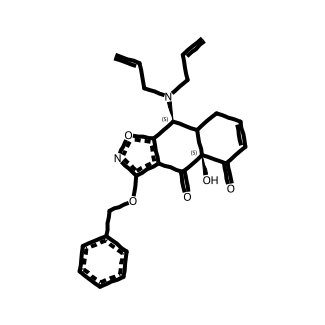 C=CCN(CC=C)[C@@H]1c2onc(OCc3ccccc3)c2C(=O)[C@@]2(O)C(=O)C=CCC12